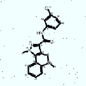 CN1Cc2c(C(=O)Nc3cccc(Cl)c3)nn(C)c2-c2ccccc21